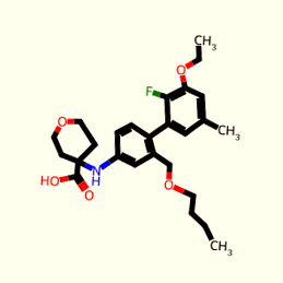 CCCCOCc1cc(NC2(C(=O)O)CCOCC2)ccc1-c1cc(C)cc(OCC)c1F